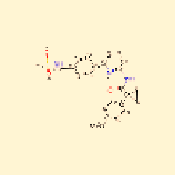 COc1ccc(C2(C(=O)Nc3cccc(-c4ccc(CNS(C)(=O)=O)cc4)n3)CC2)cc1